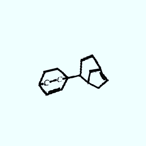 C1=CC2(C3CCC4=CC[C]3C4)CCC1CC2